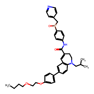 CCCCOCCOc1ccc(-c2ccc3c(c2)C=C(C(=O)Nc2ccc([S+]([O-])Cc4ccncc4)cc2)CCN3CC(C)C)cc1